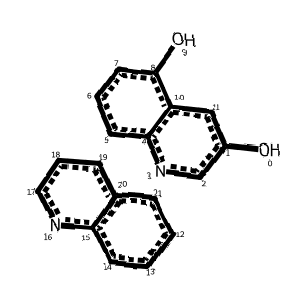 Oc1cnc2cccc(O)c2c1.c1ccc2ncccc2c1